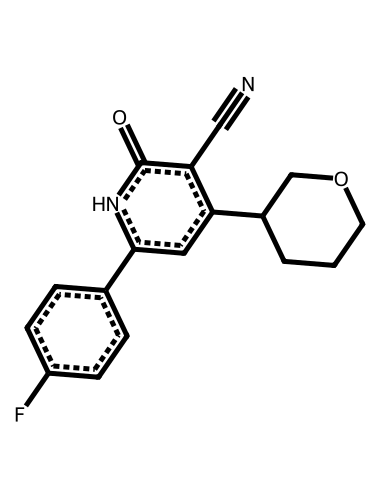 N#Cc1c(C2CCCOC2)cc(-c2ccc(F)cc2)[nH]c1=O